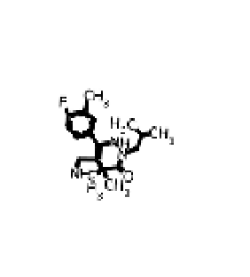 Cc1cc(C2=C(CN)C(C)(C)C(=O)N(CC(C)C)N2)ccc1F